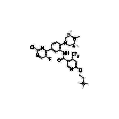 C[C@@H]1CN(c2ccc(-c3nc(Cl)ncc3F)cc2NC(=O)c2cnc(OCCS(C)(C)C)cc2C(F)(F)F)C[C@H](C)N1C